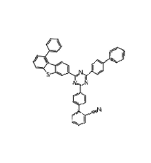 N#Cc1ccccc1-c1ccc(-c2nc(-c3ccc(-c4ccccc4)cc3)nc(-c3ccc4c(c3)sc3cccc(-c5ccccc5)c34)n2)cc1